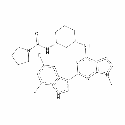 Cn1ccc2c(N[C@H]3CCC[C@@H](NC(=O)N4CCCC4)C3)nc(-c3c[nH]c4c(F)cc(F)cc34)nc21